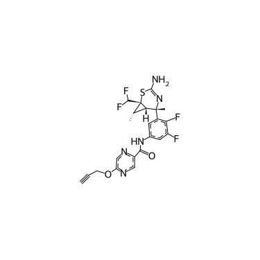 C#CCOc1cnc(C(=O)Nc2cc(F)c(F)c([C@@]3(C)N=C(N)S[C@]4(C(F)F)[C@H]3[C@@H]4C)c2)cn1